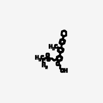 C=C(C)C(=O)OCCc1cc(-c2ccc(-c3ccc(C4CCCCC4)cc3)c(C)c2)ccc1OCCO